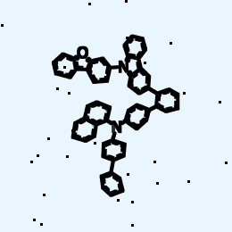 c1ccc(-c2ccc(N(c3ccc(-c4ccccc4-c4ccc5c(c4)c4ccccc4n5-c4ccc5c(c4)oc4ccccc45)cc3)c3cccc4ccccc34)cc2)cc1